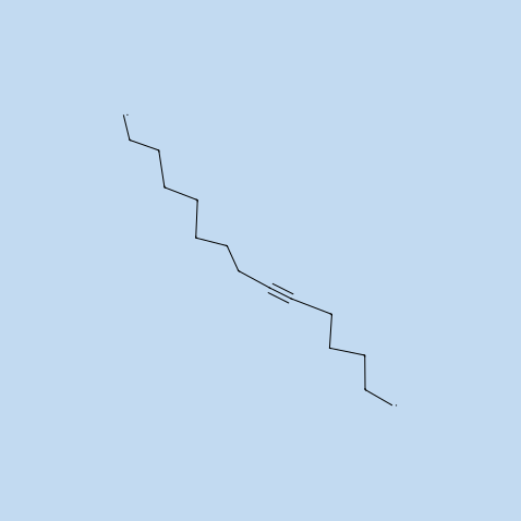 [CH2]CCCCC#CCCCCCCC[CH2]